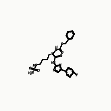 NS(=O)(=O)NCCCC[C@H](NC(=O)OCc1ccccc1)C(=O)Nc1nc(-c2ccc(F)cc2)cs1